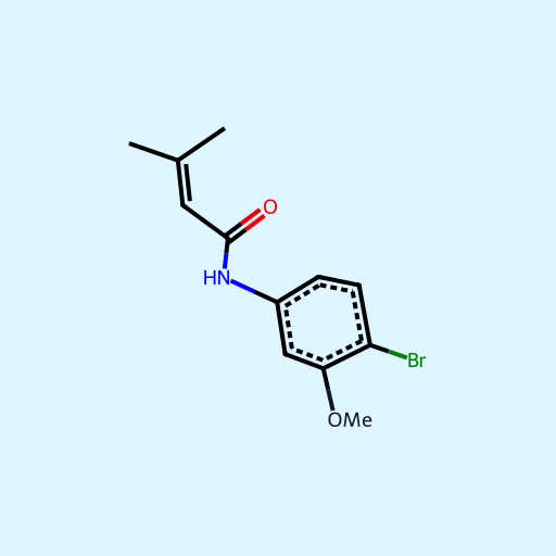 COc1cc(NC(=O)C=C(C)C)ccc1Br